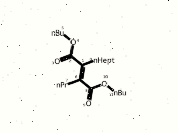 CCCCCCCC(C(=O)OCCCC)=C(CCC)C(=O)OCCCC